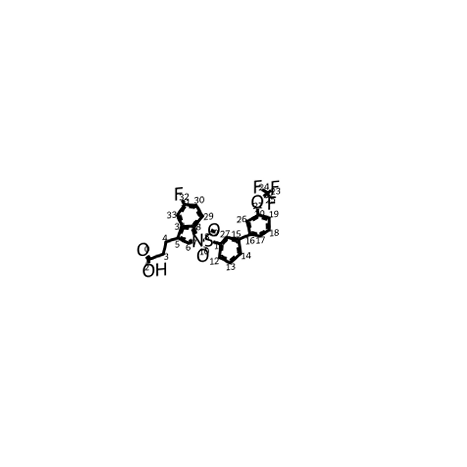 O=C(O)CCc1cn(S(=O)(=O)c2cccc(-c3cccc(OC(F)(F)F)c3)c2)c2ccc(F)cc12